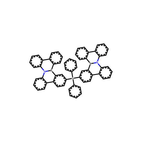 c1ccc([Si](c2ccccc2)(c2ccc3c(c2)B2c4ccccc4-c4ccccc4N2c2ccccc2-3)c2ccc3c(c2)B2c4ccccc4-c4ccccc4N2c2ccccc2-3)cc1